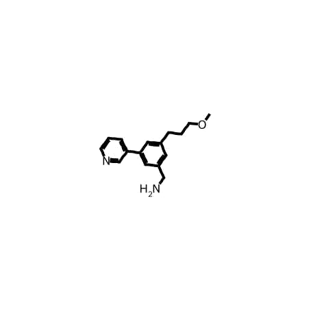 COCCCc1cc(CN)cc(-c2cccnc2)c1